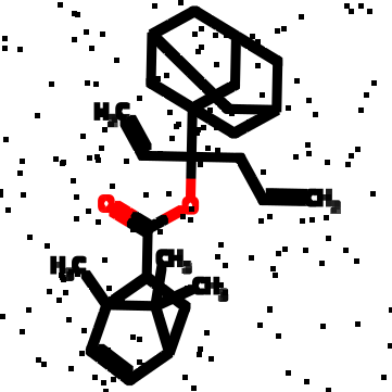 C=CCC(C=C)(OC(=O)C1CC2C=CC1(C)C2(C)C)C12CC3CC(CC(C3)C1)C2